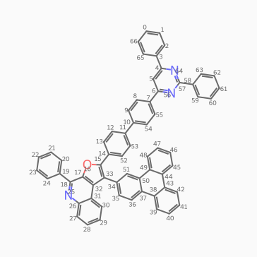 c1ccc(-c2cc(-c3ccc(-c4ccc(-c5oc6c(-c7ccccc7)nc7ccccc7c6c5-c5ccc6c7ccccc7c7ccccc7c6c5)cc4)cc3)nc(-c3ccccc3)n2)cc1